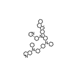 c1ccc(N(c2cccc(-c3ccc(N(c4ccccc4)c4ccc5c6cc7sc8c9ccccc9ccc8c7cc6n(-c6cccc(-c7ccccn7)c6)c5c4)cc3)c2)c2ccc3ncccc3c2)cc1